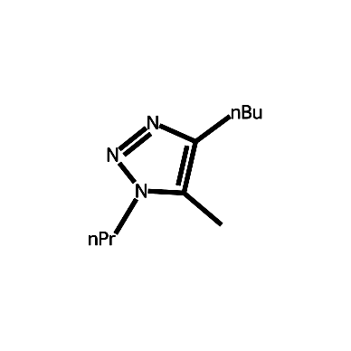 CCCCc1nnn(CCC)c1C